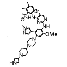 COc1cc(N2CCN(C3CCN(C4CNC4)CC3)CC2)c(-c2cnn(C)c2)cc1Nc1ncc(Br)c(Nc2ccc(C)c(C)c2P(C)(C)=O)n1